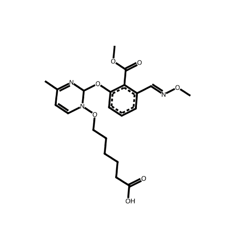 CON=Cc1cccc(OC2N=C(C)C=CN2OCCCCCC(=O)O)c1C(=O)OC